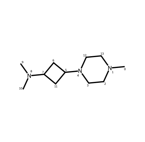 CN1CCN(C2CC(N(C)C)C2)CC1